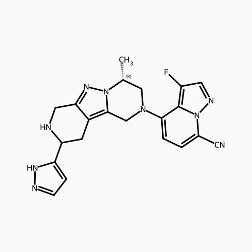 C[C@@H]1CN(c2ccc(C#N)n3ncc(F)c23)Cc2c3c(nn21)CNC(c1ccn[nH]1)C3